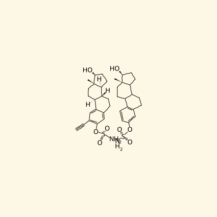 C#Cc1cc2c(cc1OS(N)(=O)=O)CC[C@@H]1[C@@H]2CC[C@]2(C)[C@@H](O)CC[C@@H]12.C[C@]12CCC3c4ccc(OS(N)(=O)=O)cc4CCC3C1CC[C@@H]2O